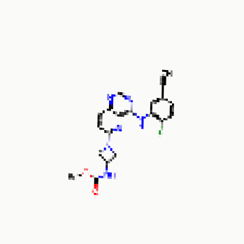 C#Cc1ccc(F)c(Nc2ncnc3ccc(N4CC(NC(=O)OC(C)(C)C)C4)nc23)c1